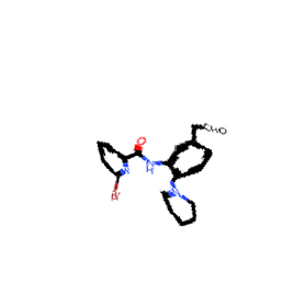 O=CCc1ccc(N2CCCCC2)c(NC(=O)c2cccc(Br)n2)c1